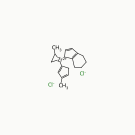 CC1=CC[C]([Zr+2]2([CH]3C=CC4=C3CCCC4)[CH2][CH]2C)=C1.[Cl-].[Cl-]